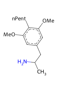 CCCCCc1c(OC)cc(CC(C)N)cc1OC